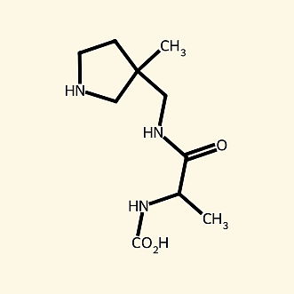 CC(NC(=O)O)C(=O)NCC1(C)CCNC1